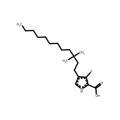 CCCCCCCCCC(C)(C)CCc1c[nH]c(C(=O)O)c1F